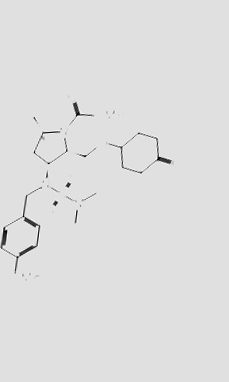 COC(=O)N1[C@H](C)C[C@H](N(Cc2ccc(OC)cc2)S(=O)(=O)N(C)C)[C@@H]1COC1CCC(=O)CC1